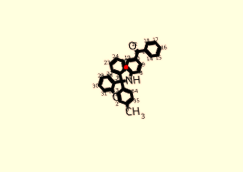 Cc1ccc(C(Nc2ccc(C(=O)c3ccccc3)cc2)(c2ccccc2)c2ccccc2Cl)cc1